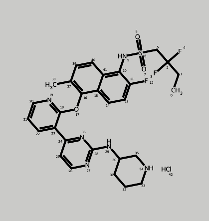 CCC(F)(F)CS(=O)(=O)Nc1c(F)ccc2c(Oc3ncccc3-c3ccnc(NC4CCCNC4)n3)c(C)ccc12.Cl